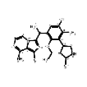 CCOc1c(C(C)c2nc(Cl)c3c(N)nccn23)cc(Cl)c(C)c1C1CNC(O)C1